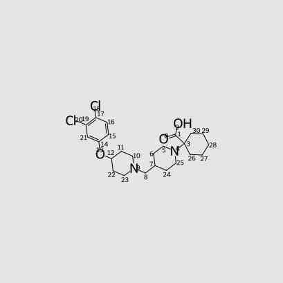 O=C(O)C1(N2CCC(CN3CCC(Oc4ccc(Cl)c(Cl)c4)CC3)CC2)CCCCC1